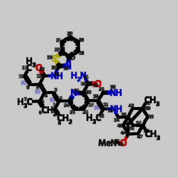 C=C\C(=C/C(C(=C)C)=C(/C=C\C)C(=O)Nc1nc2ccccc2s1)c1ccc(/C(C=N)=C(\C)NCC23CC4(C)CC(C)(C2)CC(ONC)(C4)C3)c(C(N)=O)n1